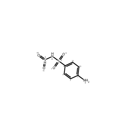 Nc1ccc(S(=O)(=O)N[SH](=O)=O)cc1